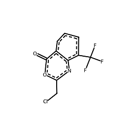 O=c1oc(CCl)nc2c(C(F)(F)F)cccc12